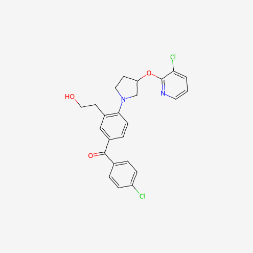 O=C(c1ccc(Cl)cc1)c1ccc(N2CCC(Oc3ncccc3Cl)C2)c(CCO)c1